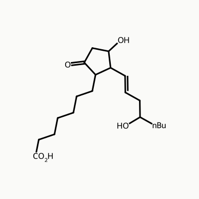 CCCCC(O)CC=CC1C(O)CC(=O)C1CCCCCCC(=O)O